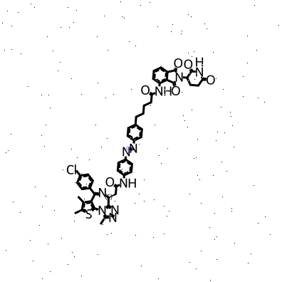 Cc1sc2c(c1C)C(c1ccc(Cl)cc1)=N[C@@H](CC(=O)Nc1ccc(/N=N/c3ccc(CCCCC(=O)Nc4cccc5c4C(=O)N(C4CCC(=O)NC4=O)C5=O)cc3)cc1)c1nnc(C)n1-2